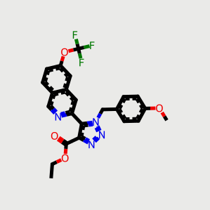 CCOC(=O)c1nnn(Cc2ccc(OC)cc2)c1-c1cc2cc(OC(F)(F)F)ccc2cn1